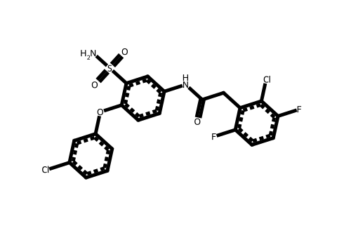 NS(=O)(=O)c1cc(NC(=O)Cc2c(F)ccc(F)c2Cl)ccc1Oc1cccc(Cl)c1